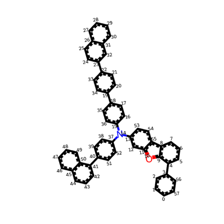 c1ccc(-c2cccc3c2oc2cc(N(c4ccc(-c5ccc(-c6ccc7ccccc7c6)cc5)cc4)c4ccc(-c5cccc6ccccc56)cc4)ccc23)cc1